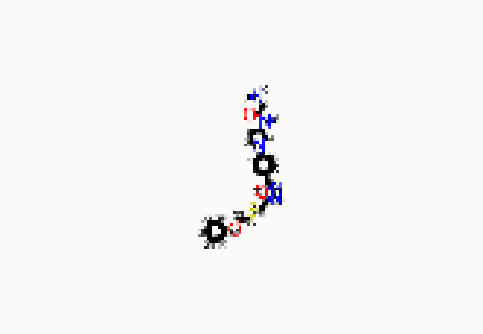 CN(C)CC(=O)N(C)C1CCN(c2ccc(-c3nnc(CSCCOc4ccccc4)o3)cc2)C1